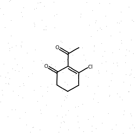 CC(=O)C1=C(Cl)CCCC1=O